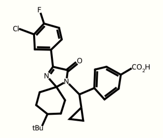 CC(C)(C)C1CCC2(CC1)N=C(c1ccc(F)c(Cl)c1)C(=O)N2C(c1ccc(C(=O)O)cc1)C1CC1